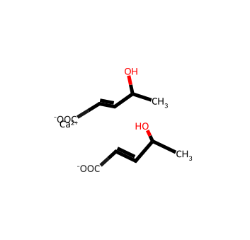 CC(O)C=CC(=O)[O-].CC(O)C=CC(=O)[O-].[Ca+2]